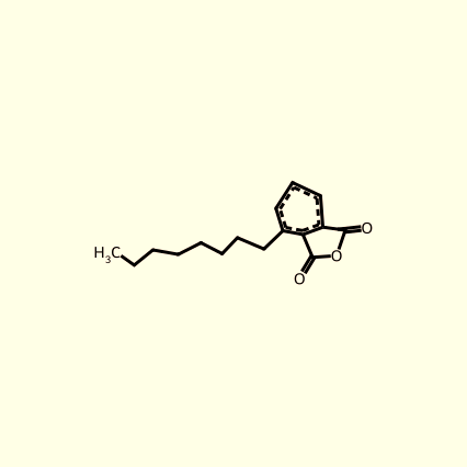 CCCCCCCCc1cccc2c1C(=O)OC2=O